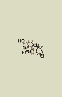 CCS(=O)(=O)c1c(CO)cccc1Nc1nc(Cl)ncc1Cl